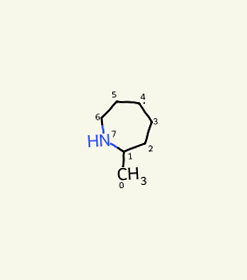 CC1CC[CH]CCN1